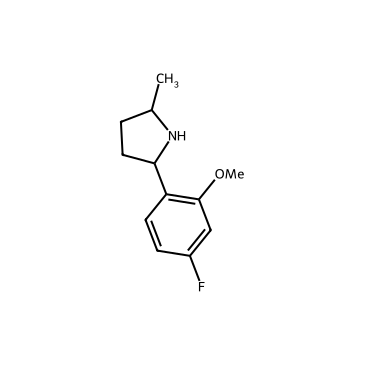 COc1cc(F)ccc1C1CCC(C)N1